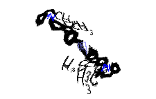 CC1CCc2ccccc2N1c1ccc2c(c1)C(C)(C)c1cc(/C=C/c3ccc4c(c3)C(C)(C)c3cc(N5c6ccccc6CCC5(C)C)ccc3-4)ccc1-2